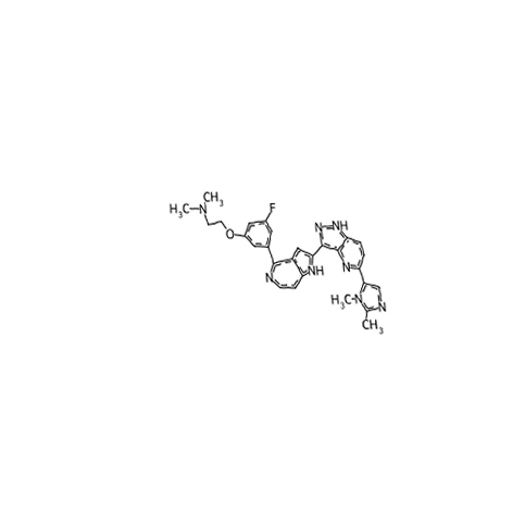 Cc1ncc(-c2ccc3[nH]nc(-c4cc5c(-c6cc(F)cc(OCCN(C)C)c6)nccc5[nH]4)c3n2)n1C